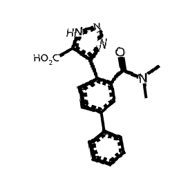 CN(C)C(=O)c1cc(-c2ccccc2)ccc1-c1nn[nH]c1C(=O)O